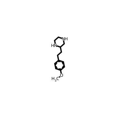 COc1ccc(CCC2CNCCN2)cc1